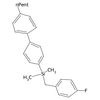 CCCCCc1ccc(-c2ccc([Si](C)(C)Cc3ccc(F)cc3)cc2)cc1